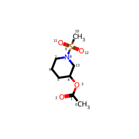 CC(=O)OC1CCCN(S(C)(=O)=O)C1